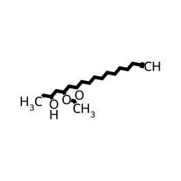 C#CCCCCCCCCCCCC(CC(O)CC)OC(C)=O